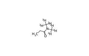 [2H]C([2H])([2H])N(C(=O)CC)C([2H])([2H])[2H]